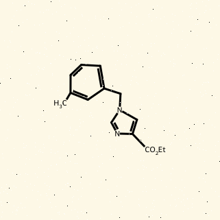 CCOC(=O)c1cn(Cc2cccc(C)c2)cn1